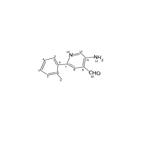 Cc1ccccc1-c1cc(C=O)c(N)cn1